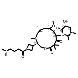 CO[C@]1(C)C[C@@H](C)CN(C)[C@H](C2CN(C(=O)CCCN(C)C)C2)COC(=O)C(C)(C)C(=O)[C@H](C)[C@H]1O[C@H](OC(C)C)[C@H](O)[C@H](C)N(C)C